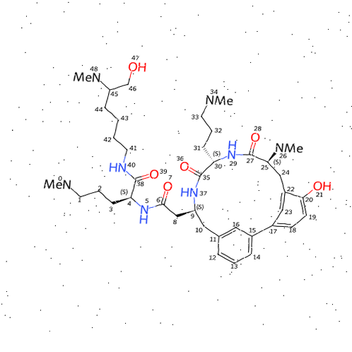 CNCCC[C@H](NC(=O)C[C@@H]1Cc2cccc(c2)-c2ccc(O)c(c2)C[C@H](NC)C(=O)N[C@@H](CCCNC)C(=O)N1)C(=O)NCCCCC(CO)NC